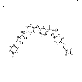 O=C(Cc1ccc(F)cc1)NC(=O)Nc1ccc(Oc2ccnc(NC(=O)ON3CCN(CCN4CCC4)CC3)c2)cc1